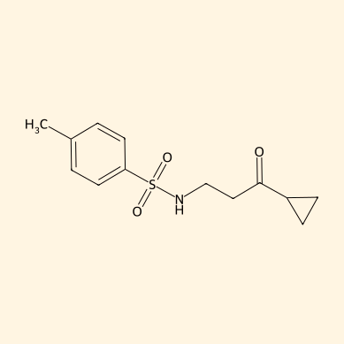 Cc1ccc(S(=O)(=O)NCCC(=O)C2CC2)cc1